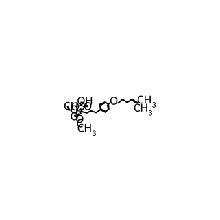 CCOP(=O)(OCC)C(CCCc1ccc(OCCCC=C(C)C)cc1)S(=O)(=O)O